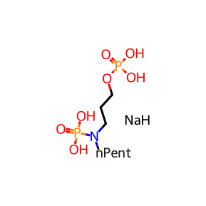 CCCCCN(CCCOP(=O)(O)O)P(=O)(O)O.[NaH]